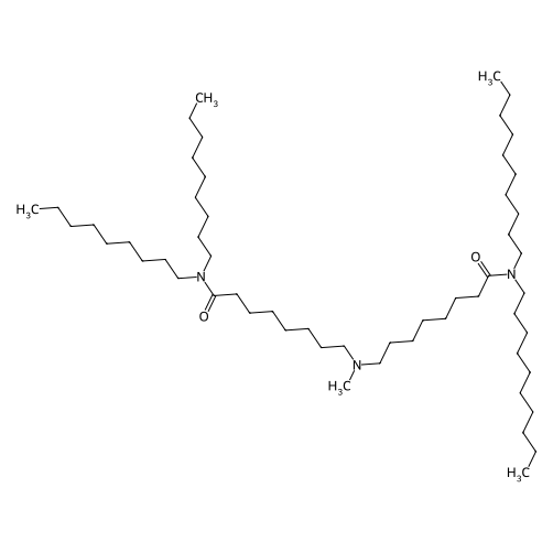 CCCCCCCCCCN(CCCCCCCCCC)C(=O)CCCCCCCN(C)CCCCCCCC(=O)N(CCCCCCCCC)CCCCCCCCC